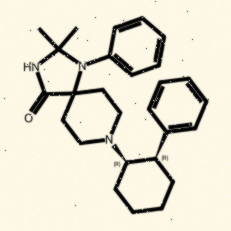 CC1(C)NC(=O)C2(CCN([C@@H]3CCCC[C@@H]3c3ccccc3)CC2)N1c1ccccc1